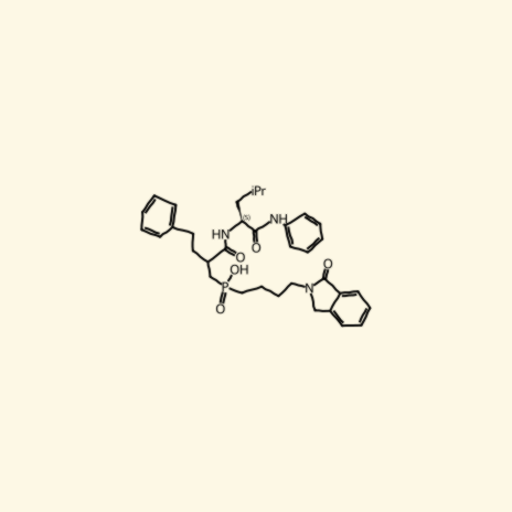 CC(C)C[C@H](NC(=O)C(CCc1ccccc1)CP(=O)(O)CCCCN1Cc2ccccc2C1=O)C(=O)Nc1ccccc1